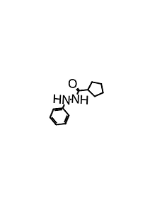 O=C(NNc1ccccc1)C1CCCC1